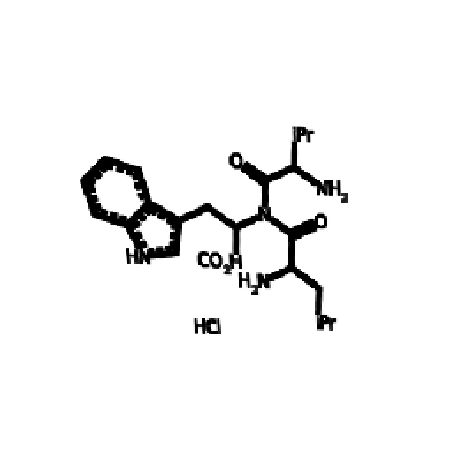 CC(C)CC(N)C(=O)N(C(=O)C(N)C(C)C)C(Cc1c[nH]c2ccccc12)C(=O)O.Cl